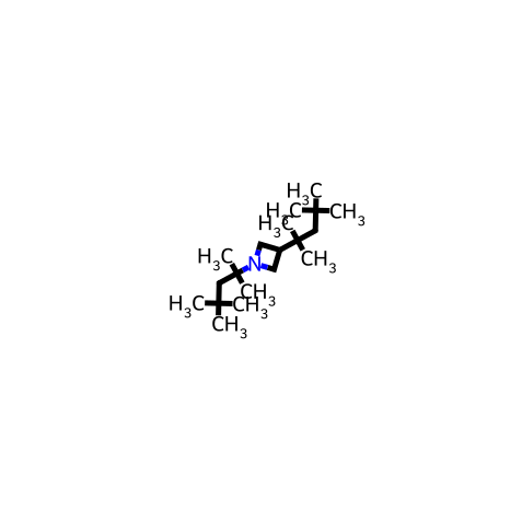 CC(C)(C)CC(C)(C)C1CN(C(C)(C)CC(C)(C)C)C1